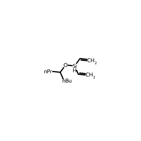 C=C[SiH](C=C)OC(CCC)CCCC